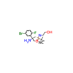 CC(C)(C#N)[S@](=O)(C[C@](C)(N)c1cc(Br)ccc1F)=NCCO